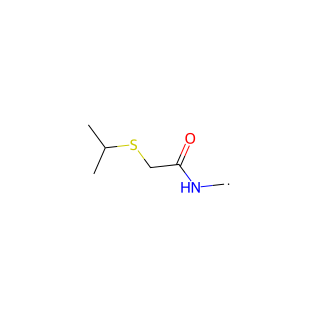 [CH2]NC(=O)CSC(C)C